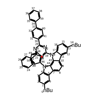 CCCCc1ccc2c(c1)c1ccc3c4cc(CCCC)ccc4n(-c4nc(-c5ccccc5)nc(-c5ccc(-c6ccccc6)cc5)n4)c3c1n2-c1ccccc1